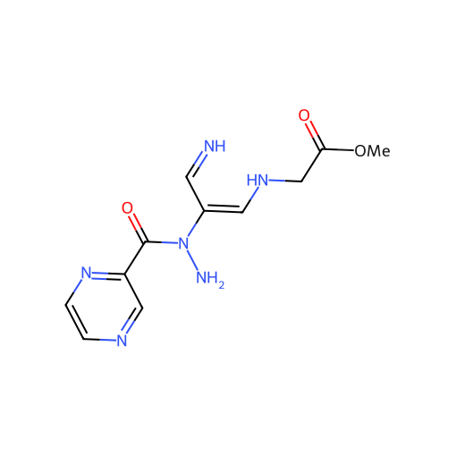 COC(=O)CN/C=C(\C=N)N(N)C(=O)c1cnccn1